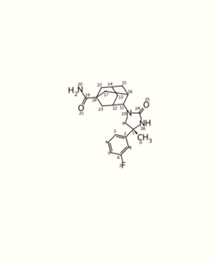 C[C@@]1(c2cccc(F)c2)CN(C2C3CC4CC2CC(C(N)=O)(C4)C3)C(=O)N1